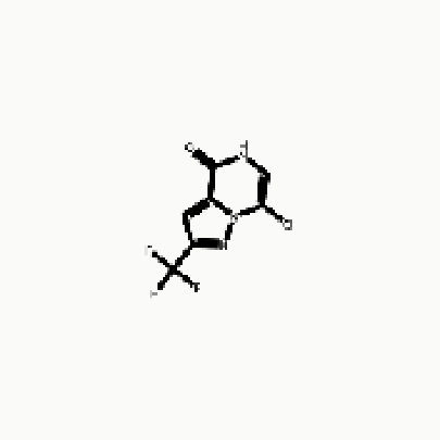 O=c1[nH]cc(Cl)n2nc(C(F)(F)F)cc12